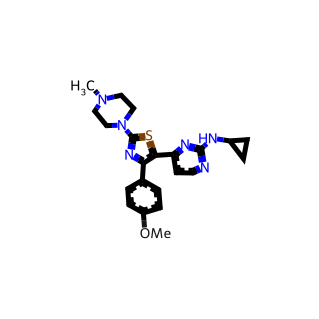 COc1ccc(-c2nc(N3CCN(C)CC3)sc2-c2ccnc(NC3CC3)n2)cc1